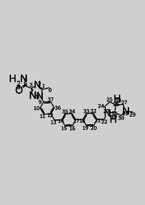 Cc1nc(C(N)=O)nn1-c1ccc(Cc2ccc(-c3ccc(CN4CC[C@H]5CN(C)C[C@H]54)cc3)cc2)cc1